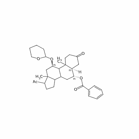 CC(=O)C1CCC2C3C[C@@H](OC(=O)c4ccccc4)[C@@H]4CC(=O)CCC4(C)C3[C@H](OC3CCCCO3)CC12C